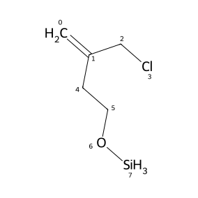 C=C(CCl)CCO[SiH3]